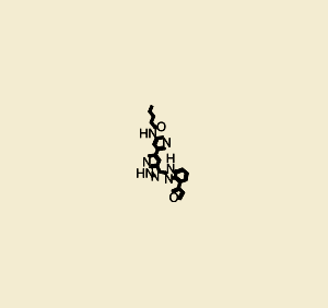 CCCCC(=O)Nc1cncc(-c2cnc3[nH]nc(-c4nc5c(-c6ccoc6)cccc5[nH]4)c3c2)c1